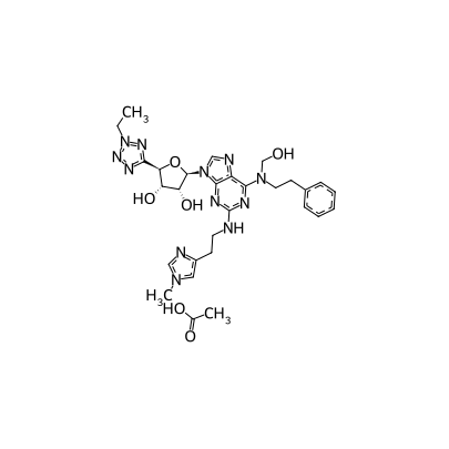 CC(=O)O.CCn1nnc([C@H]2O[C@@H](n3cnc4c(N(CO)CCc5ccccc5)nc(NCCc5cn(C)cn5)nc43)[C@H](O)[C@@H]2O)n1